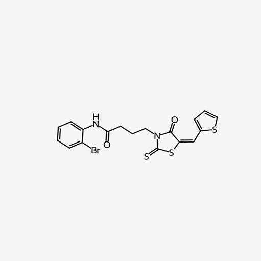 O=C(CCCN1C(=O)/C(=C\c2cccs2)SC1=S)Nc1ccccc1Br